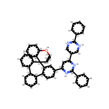 c1ccc(-c2ncc(-c3cc(-c4ccc5c(c4)C4(c6ccccc6Oc6ccccc64)c4ccccc4-c4ccccc4-5)nc(-c4ccccc4)n3)cn2)cc1